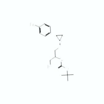 CC(C)(C)OC(=O)NC(CO)CO[C@@H]1C[C@H]1c1ccc(Br)cc1